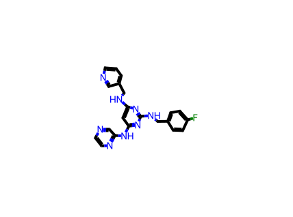 Fc1ccc(CNc2nc(NCc3cccnc3)cc(Nc3cnccn3)n2)cc1